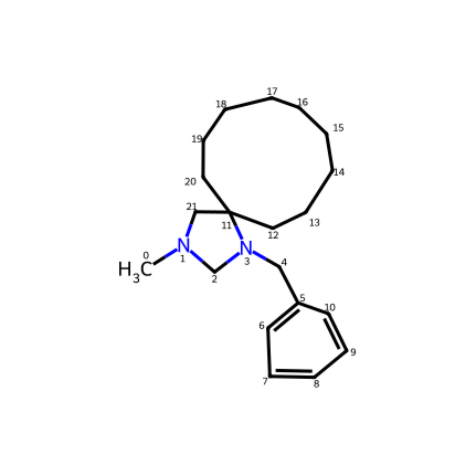 CN1CN(Cc2ccccc2)C2(CCCCCCCCC2)C1